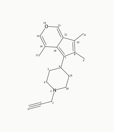 C#CCN1CCC(c2c(C)c(C)c3cocc(C)c2-3)CC1